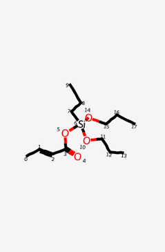 CC=CC(=O)O[Si](CCC)(OCCC)OCCC